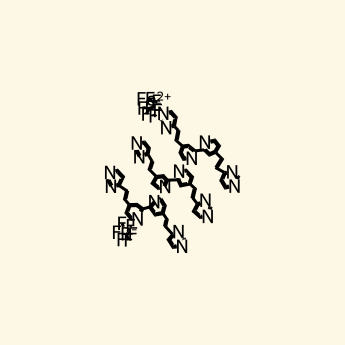 C(=Cc1ccncn1)c1ccnc(-c2cc(C=Cc3ccncn3)ccn2)c1.C(=Cc1ccncn1)c1ccnc(-c2cc(C=Cc3ccncn3)ccn2)c1.C(=Cc1ccncn1)c1ccnc(-c2cc(C=Cc3ccncn3)ccn2)c1.F[P-](F)(F)(F)(F)F.F[P-](F)(F)(F)(F)F.[Fe+2]